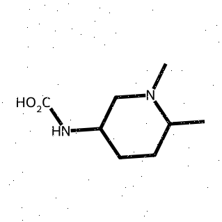 CC1CCC(NC(=O)O)CN1C